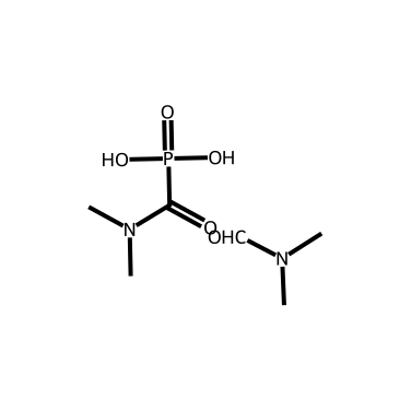 CN(C)C(=O)P(=O)(O)O.CN(C)C=O